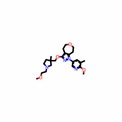 COCCN1CCC(C)(COc2nn(-c3cnc(OC)c(C)c3)c3c2CCOCC3)C1